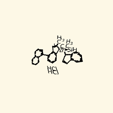 CC1=Cc2c(-c3cccc4ccccc34)cccc2[CH]1[Zr]([CH3])([CH3])(=[SiH2])[CH]1C=Cc2ccccc21.Cl.Cl